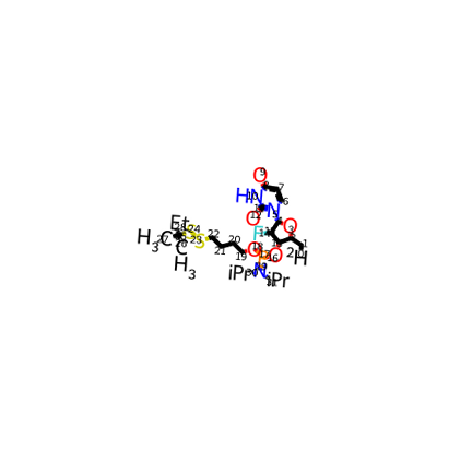 [2H]CC1OC(n2ccc(=O)[nH]c2=O)C(F)C1OP(OCCCCSSC(C)(C)CC)N(C(C)C)C(C)C